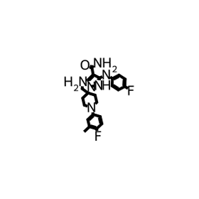 Cc1cc(N2CCC(CN)(n3cc(C(N)=O)c(Nc4ccc(F)cc4)n3)CC2)ccc1F